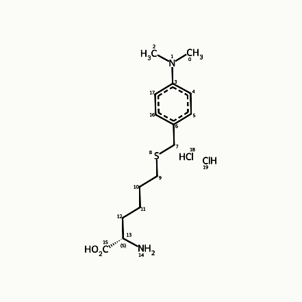 CN(C)c1ccc(CSCCCC[C@H](N)C(=O)O)cc1.Cl.Cl